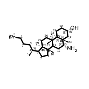 CC(C)CCC[C@H](C)C1CC[C@@]2(C)C3C[C@@H](N)[C@@]4(C)C[C@@H](O)CC[C@]4(C)[C@@]3(C)CC[C@]12C